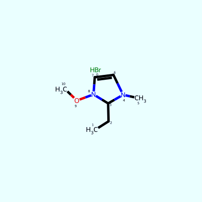 Br.CCC1N(C)C=CN1OC